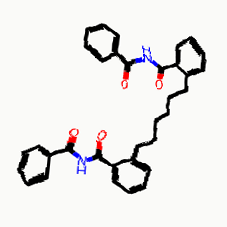 O=C(NC(=O)c1ccccc1CCCCCCc1ccccc1C(=O)NC(=O)c1ccccc1)c1ccccc1